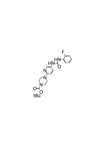 CC(C)(C)OC(=O)N1CCN(c2ccc(NC(=O)Nc3ccccc3F)cn2)CC1